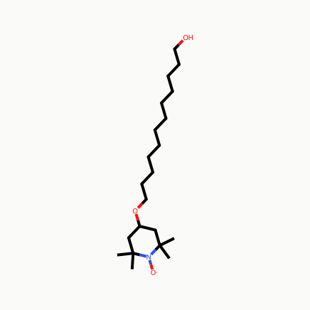 CC1(C)CC(OCCCCCCCCCCCCO)CC(C)(C)N1[O]